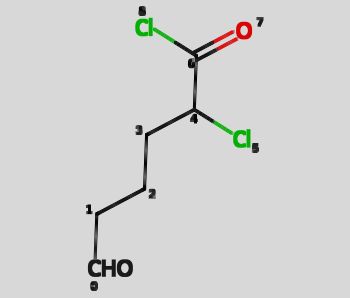 O=CCCCC(Cl)C(=O)Cl